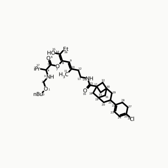 CCCCOCNC(C(=O)OC(/C=C(\C)CCNC(=O)C12CC3CC(C4=CC=C(Cl)CC4)CC(C3)(C1)C2)=C(\O)CC)C(C)C